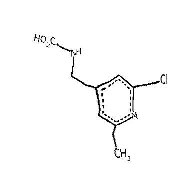 Cc1cc(CNC(=O)O)cc(Cl)n1